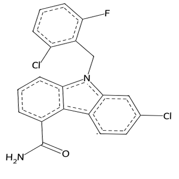 NC(=O)c1cccc2c1c1[c]cc(Cl)cc1n2Cc1c(F)cccc1Cl